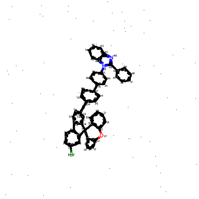 Brc1ccc2c(c1)C1(c3ccccc3Oc3ccccc31)c1cc(-c3ccc(-c4ccc(-n5c(-c6ccccc6)nc6ccccc65)cc4)cc3)ccc1-2